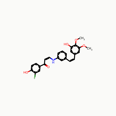 COc1cc(/C=C\c2cccc(N/C=C\C(=O)c3ccc(O)c(F)c3)c2)cc(O)c1OC